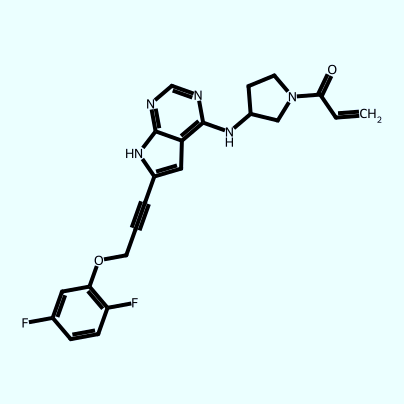 C=CC(=O)N1CCC(Nc2ncnc3[nH]c(C#CCOc4cc(F)ccc4F)cc23)C1